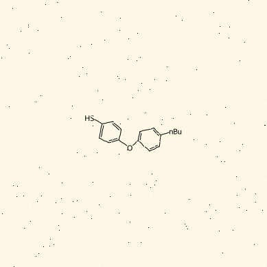 CCCCc1ccc(Oc2ccc(S)cc2)cc1